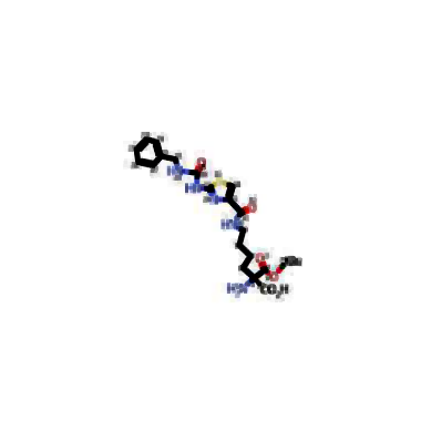 CC(C)(C)OC(=O)[C@](N)(CCCCNC(=O)c1csc(NC(=O)NCc2ccccc2)n1)C(=O)O